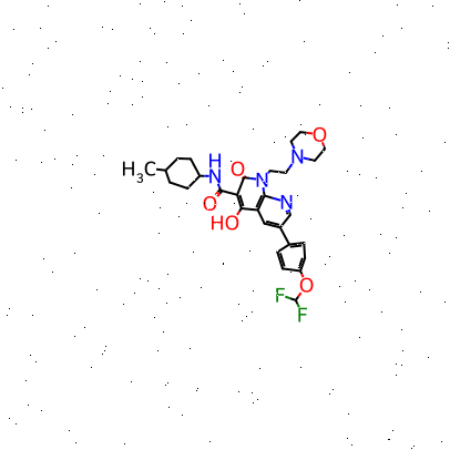 CC1CCC(NC(=O)c2c(O)c3cc(-c4ccc(OC(F)F)cc4)cnc3n(CCN3CCOCC3)c2=O)CC1